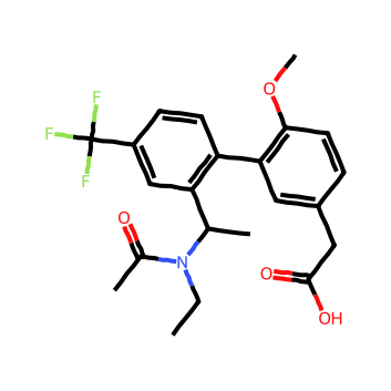 CCN(C(C)=O)C(C)c1cc(C(F)(F)F)ccc1-c1cc(CC(=O)O)ccc1OC